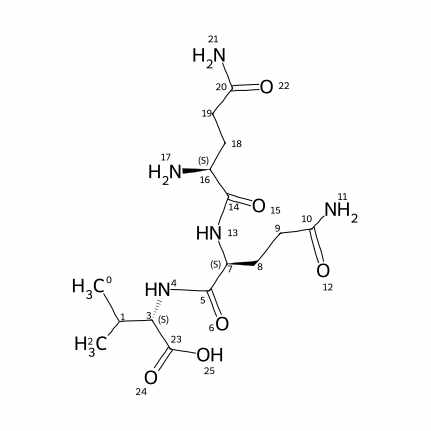 CC(C)[C@H](NC(=O)[C@H](CCC(N)=O)NC(=O)[C@@H](N)CCC(N)=O)C(=O)O